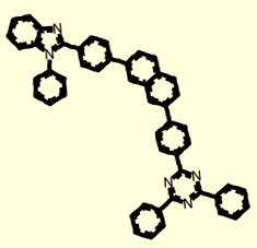 c1ccc(-c2nc(-c3ccccc3)nc(-c3ccc(-c4ccc5ccc(-c6ccc(-c7nc8ccccc8n7-c7ccccc7)cc6)cc5c4)cc3)n2)cc1